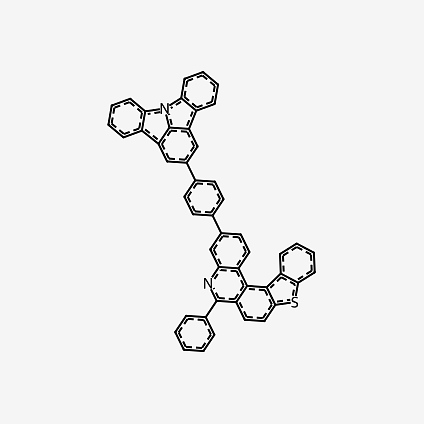 c1ccc(-c2nc3cc(-c4ccc(-c5cc6c7ccccc7n7c8ccccc8c(c5)c67)cc4)ccc3c3c2ccc2sc4ccccc4c23)cc1